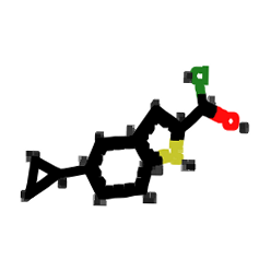 O=C(Cl)c1cc2cc(C3CC3)ccc2s1